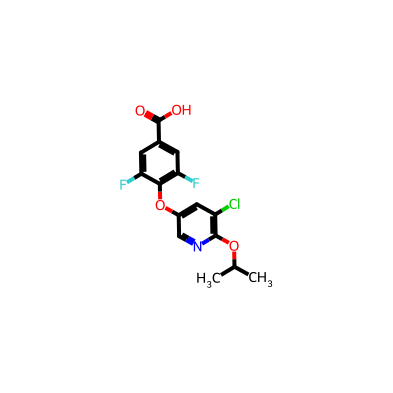 CC(C)Oc1ncc(Oc2c(F)cc(C(=O)O)cc2F)cc1Cl